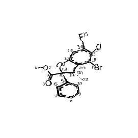 COC(=O)[C@]1(c2ccccc2)Oc2cc(F)c(Cl)c(Br)c2[C@@H]1C